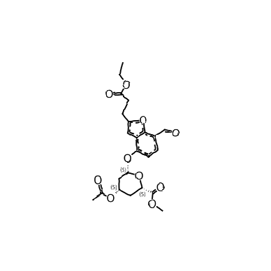 CCOC(=O)CCc1cc2c(O[C@H]3C[C@@H](OC(C)=O)C[C@@H](C(=O)OC)O3)ccc(C=O)c2o1